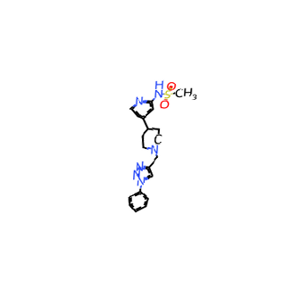 CS(=O)(=O)Nc1cc(C2CCN(Cc3cn(-c4ccccc4)nn3)CC2)ccn1